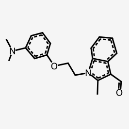 Cc1c(C=O)c2ccccc2n1CCOc1cccc(N(C)C)c1